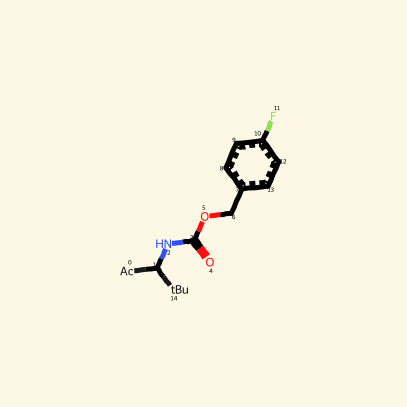 CC(=O)C(NC(=O)OCc1ccc(F)cc1)C(C)(C)C